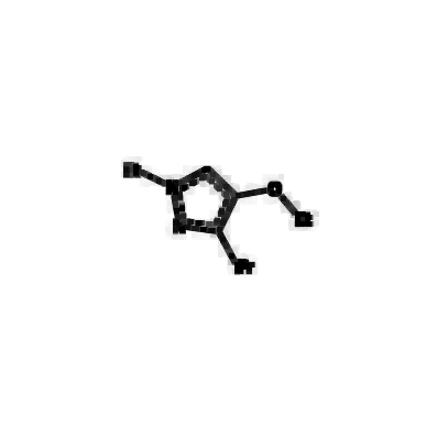 CCOc1cn(CC)nc1C(C)C